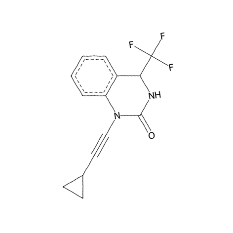 O=C1NC(C(F)(F)F)c2ccccc2N1C#CC1CC1